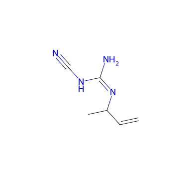 C=CC(C)N=C(N)NC#N